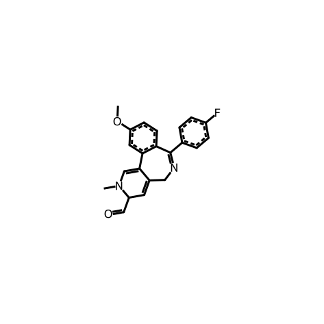 COc1ccc2c(c1)C1=CN(C)C(C=O)C=C1CN=C2c1ccc(F)cc1